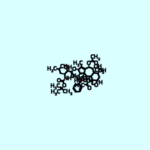 CC(=O)O[C@H]1C2=C(C)[C@@H](OC(=O)[C@H](O)[C@H](CC(C)C)NC(=O)OC(C)(C)C)C[C@@]2(C(C)(C)O)[C@@H](OC(=O)c2ccccc2)[C@@H]2[C@]3(OC(C)=O)CO[C@@H]3C[C@H](O)[C@@]2(C)[C@H]1O